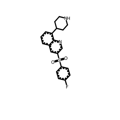 O=S(=O)(c1ccc(F)cc1)c1cnc2c(C3CCNCC3)cccc2c1